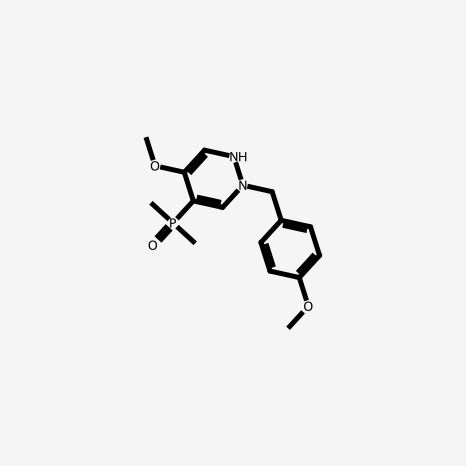 COC1=CNN(Cc2ccc(OC)cc2)C=C1P(C)(C)=O